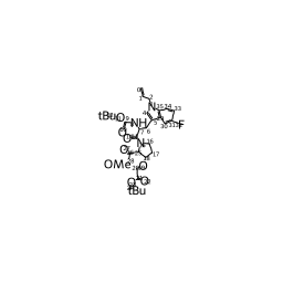 C=CCn1cc(C[C@H](NC(=O)OC(C)(C)C)C(=O)N2CC[C@H](OCC(=O)OC(C)(C)C)[C@H]2C(=O)OC)c2cc(F)ccc21